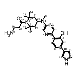 CN(c1cnc(-c2ccc(-c3cn[nH]c3)cc2O)cn1)C1CC(C)(C)N(C(=O)CCN)C(C)(C)C1